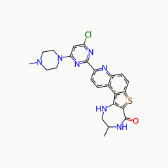 CC1CNc2c(sc3ccc4nc(-c5nc(Cl)cc(N6CCN(C)CC6)n5)ccc4c23)C(=O)N1